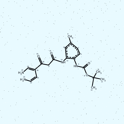 Cc1ccc(NC(=O)OC(C)(C)C)c(NC(=O)CC(=O)C(/C=C\N)=C/N)c1